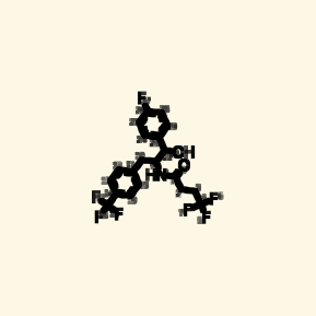 O=C(CCC(F)(F)F)NC(Cc1ccc(C(F)(F)F)cc1)C(O)c1ccc(F)cc1